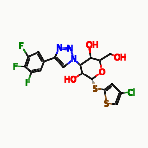 OCC1O[C@H](Sc2cc(Cl)cs2)C(O)C(n2cc(-c3cc(F)c(F)c(F)c3)nn2)[C@H]1O